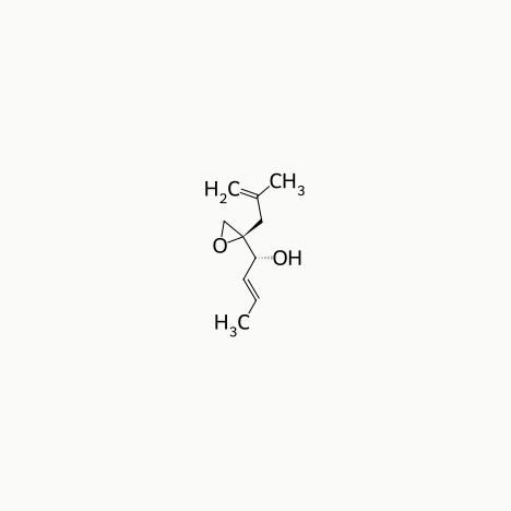 C=C(C)C[C@]1([C@H](O)/C=C/C)CO1